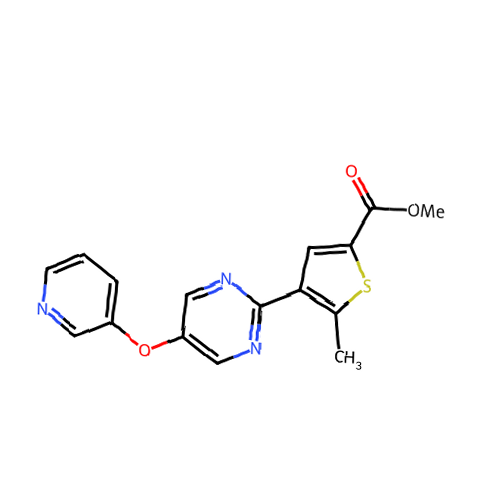 COC(=O)c1cc(-c2ncc(Oc3cccnc3)cn2)c(C)s1